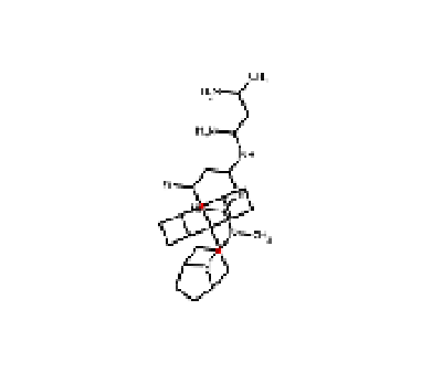 CCC1CC(NC(N)CC(C)N)NC(N(C)C2CC3CCC(C2)N3CC23C4CCC4C2C2CCC23)N1